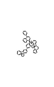 c1ccc(-c2ccc(N(c3ccc(-c4ccc5oc6ccccc6c5c4)cc3)c3cccc4c3oc3c5ccccc5ccc43)c3ccccc23)cc1